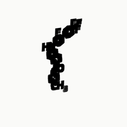 CN1CCN(CC(=O)N2CCc3cc(Nc4ccc(N5CCC(C(F)(F)F)CC5)c(F)c4)ccc3C2)CC1